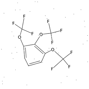 FC(F)(F)Oc1[c]ccc(OC(F)(F)F)c1OC(F)(F)F